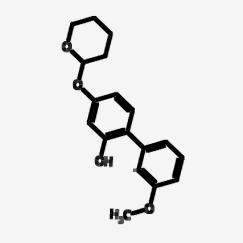 COc1[c]c(-c2ccc(OC3CCCCO3)cc2O)ccc1